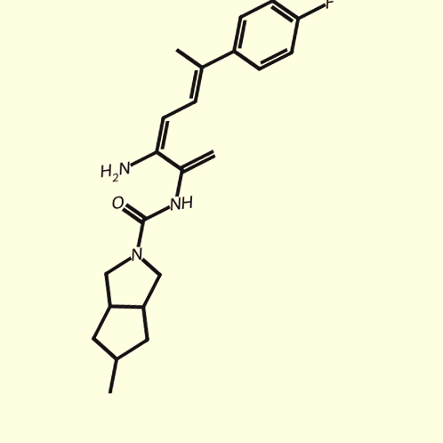 C=C(NC(=O)N1CC2CC(C)CC2C1)/C(N)=C\C=C(/C)c1ccc(F)cc1